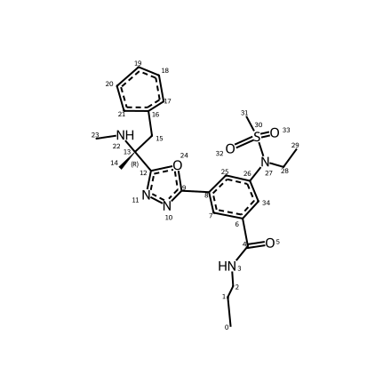 CCCNC(=O)c1cc(-c2nnc([C@@](C)(Cc3ccccc3)NC)o2)cc(N(CC)S(C)(=O)=O)c1